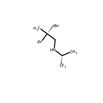 CCCC[C@](C)(CN[C@H](C)C(F)(F)F)C(C)C